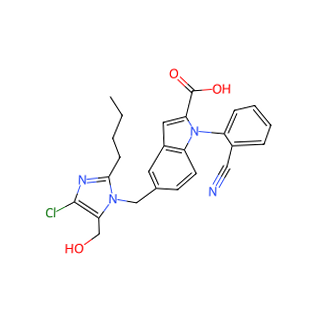 CCCCc1nc(Cl)c(CO)n1Cc1ccc2c(c1)cc(C(=O)O)n2-c1ccccc1C#N